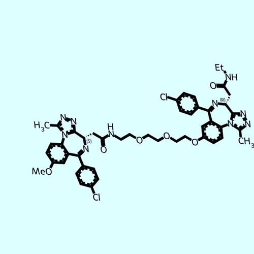 CCNC(=O)C[C@H]1N=C(c2ccc(Cl)cc2)c2cc(OCCOCCOCCNC(=O)C[C@@H]3N=C(c4ccc(Cl)cc4)c4cc(OC)ccc4-n4c(C)nnc43)ccc2-n2c(C)nnc21